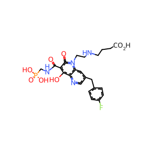 O=C(O)CCCNCCn1c(=O)c(C(=O)NCP(=O)(O)O)c(O)c2ncc(Cc3ccc(F)cc3)cc21